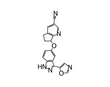 N#Cc1cnc2c(c1)CCC2Oc1ccc2[nH]nc(-c3cnco3)c2c1